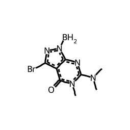 Bn1nc(Br)c2c(=O)n(C)c(N(C)C)nc21